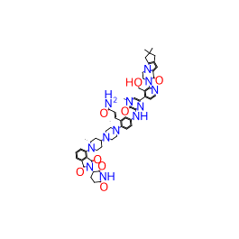 C[C@@H]1CC(N2CCN(c3ccc(Nc4nc(-c5ccnc(N6CCn7c(cc8c7CC(C)(C)C8)C6=O)c5CO)cn(C)c4=O)cc3C=CC(N)=O)[C@@H](C)C2)CCN1c1cccc2c1C(=O)N(C1CCC(=O)NC1=O)C2=O